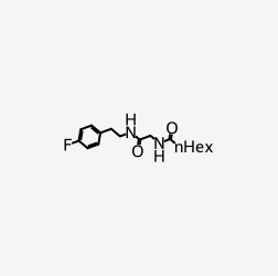 CCCCCCC(=O)NCC(=O)NCCc1ccc(F)cc1